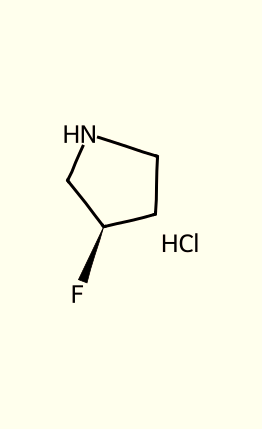 Cl.F[C@@H]1CCNC1